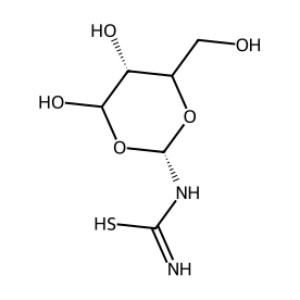 N=C(S)N[C@@H]1OC(O)[C@H](O)C(CO)O1